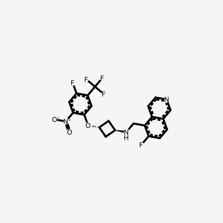 O=[N+]([O-])c1cc(F)c(C(F)(F)F)cc1O[C@H]1C[C@H](NCc2c(F)ccc3cnccc23)C1